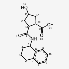 O=C(NC1CCCc2ccccc21)C1CC(O)CN1C(=O)O